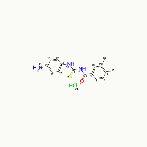 Cc1ccc(C(=O)NC(=S)Nc2ccc(N)cc2)cc1C.Cl